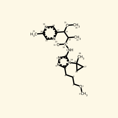 COCCCc1nnc(N[S+]([O-])C(C)C(OC)c2cnc(C)cn2)n1C1(C)CC1